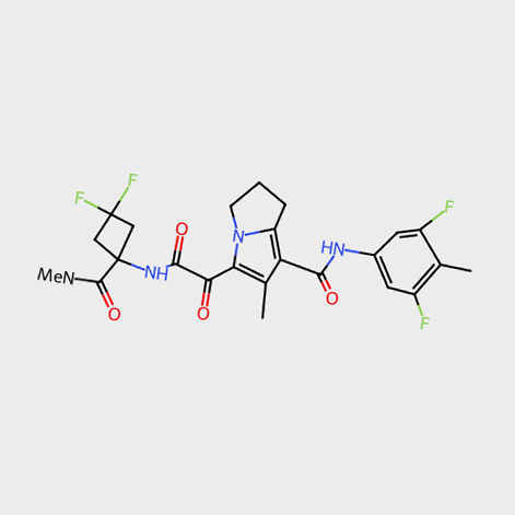 CNC(=O)C1(NC(=O)C(=O)c2c(C)c(C(=O)Nc3cc(F)c(C)c(F)c3)c3n2CCC3)CC(F)(F)C1